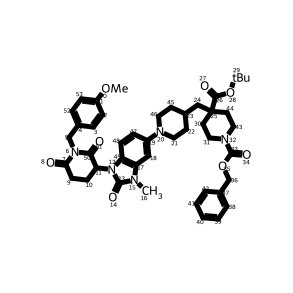 COc1ccc(CN2C(=O)CCC(n3c(=O)n(C)c4cc(N5CCC(CC6(C(=O)OC(C)(C)C)CCN(C(=O)OCc7ccccc7)CC6)CC5)ccc43)C2=O)cc1